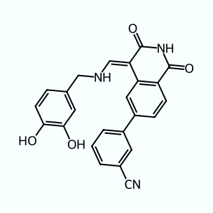 N#Cc1cccc(-c2ccc3c(c2)/C(=C\NCc2ccc(O)c(O)c2)C(=O)NC3=O)c1